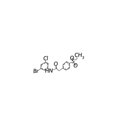 CCS(=O)(=O)c1ccc(CC(=O)Nc2cc(Cl)cc(Br)c2)cc1